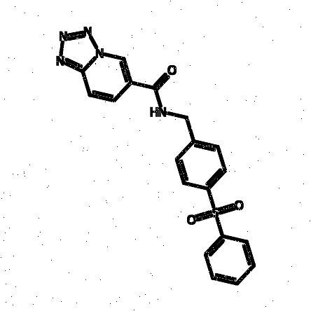 O=C(NCc1ccc(S(=O)(=O)c2ccccc2)cc1)c1ccc2nnnn2c1